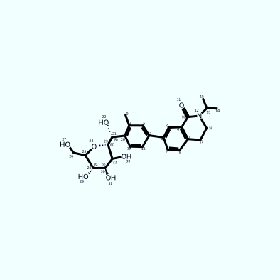 Cc1cc(-c2ccc3c(c2)C(=O)N(C(C)C)CC3)ccc1[C@@H](O)[C@H]1OC(CO)[C@@H](O)[C@H](O)C1O